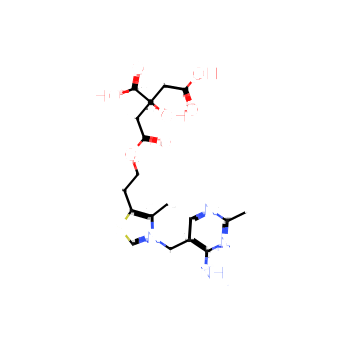 Cc1ncc(C[n+]2csc(CCOC(=O)CC(O)(CC(=O)O)C(=O)O)c2C)c(N)n1